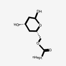 CCCCCCCC(=O)OC[C@@H]1C[C@H](O)CC(O)O1